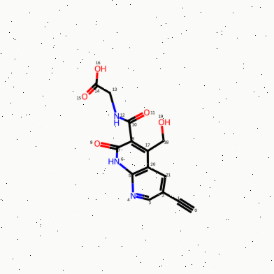 C#Cc1cnc2[nH]c(=O)c(C(=O)NCC(=O)O)c(CO)c2c1